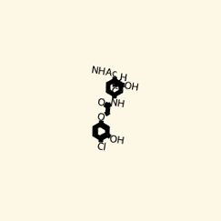 CC(=O)NC12CCC(NC(=O)COc3ccc(Cl)c(O)c3)(CC1)C[C@@H]2O